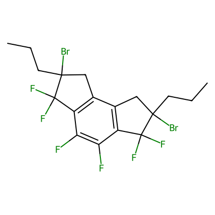 CCCC1(Br)Cc2c3c(c(F)c(F)c2C1(F)F)C(F)(F)C(Br)(CCC)C3